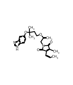 C=C(CN1C(=O)C(C)=C(/C=C\C)C1=O)OCCC(C)(C)Oc1ccc2[nH]cnc2c1